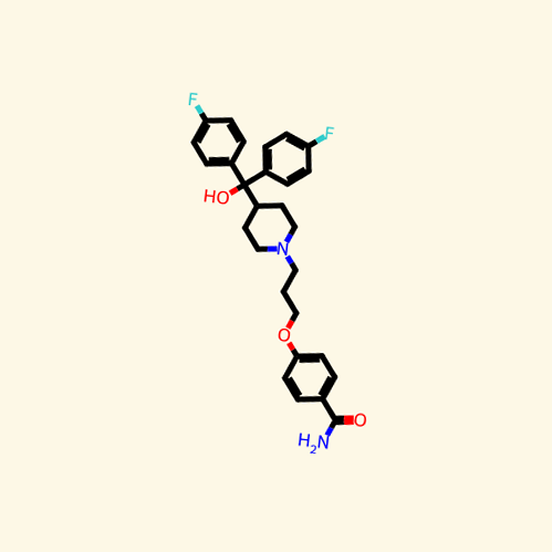 NC(=O)c1ccc(OCCCN2CCC(C(O)(c3ccc(F)cc3)c3ccc(F)cc3)CC2)cc1